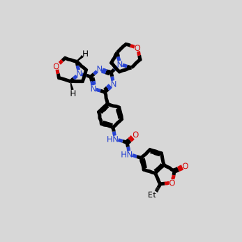 CCC1OC(=O)c2ccc(NC(=O)Nc3ccc(-c4nc(N5C6CCC5COC6)nc(N5[C@@H]6CC[C@H]5COC6)n4)cc3)cc21